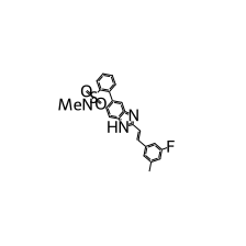 CNS(=O)(=O)c1ccccc1-c1ccc2[nH]c(/C=C/c3cc(C)cc(F)c3)nc2c1